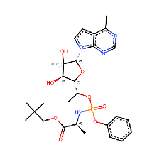 Cc1ncnc2c1ccn2[C@@H]1O[C@H](C(C)OP(=O)(N[C@@H](C)C(=O)OCC(C)(C)C)Oc2ccccc2)[C@@H](O)[C@@]1(C)O